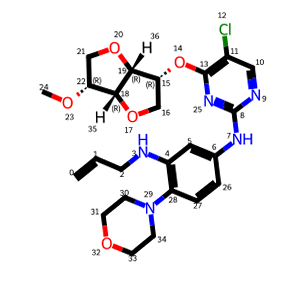 C=CCNc1cc(Nc2ncc(Cl)c(O[C@@H]3CO[C@H]4[C@@H]3OC[C@H]4OC)n2)ccc1N1CCOCC1